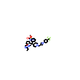 CCc1nccn1C[C@@](c1cccc(F)c1)(C1CCN(CC2CN(c3ccc(C(F)(F)F)cc3)C2)CC1)[C@H]1CCC[C@@H]1NC(=O)OC